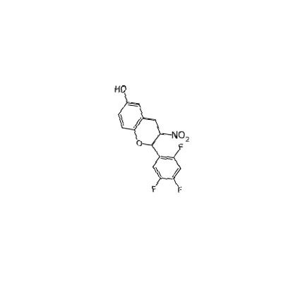 O=[N+]([O-])C1Cc2cc(O)ccc2OC1c1cc(F)c(F)cc1F